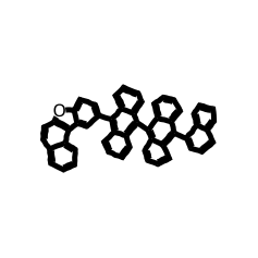 c1ccc2c(-c3c4ccccc4c(-c4c5ccccc5c(-c5ccc6oc7ccc8ccccc8c7c6c5)c5ccccc45)c4ccccc34)cccc2c1